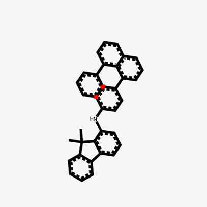 CC1(C)c2ccccc2-c2cccc(Nc3ccc(-c4cccc5cccc(-c6ccccc6)c45)cc3)c21